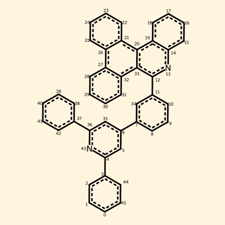 c1ccc(-c2cc(-c3cccc(-c4nc5ccccc5c5c6ccccc6c6ccccc6c45)c3)cc(-c3ccccc3)n2)cc1